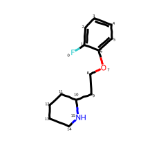 Fc1ccccc1OCCC1CCCCN1